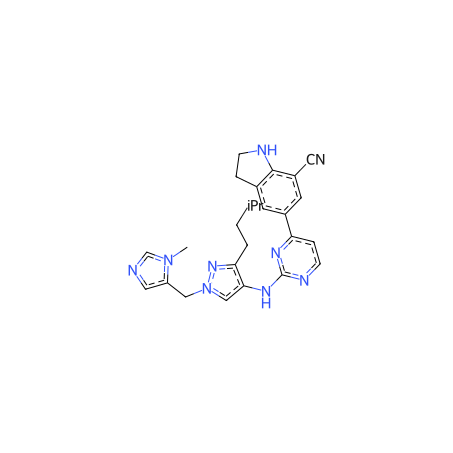 CC(C)CCc1nn(Cc2cncn2C)cc1Nc1nccc(-c2cc(C#N)c3c(c2)CCN3)n1